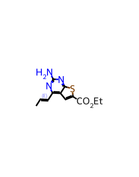 C/C=C/c1nc(N)nc2sc(C(=O)OCC)cc12